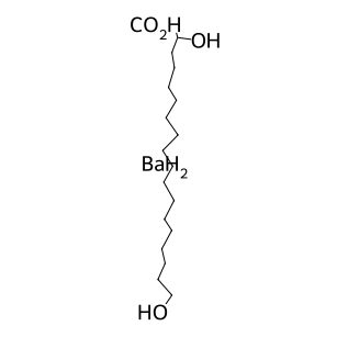 O=C(O)C(O)CCCCCCCCCCCCCCCCO.[BaH2]